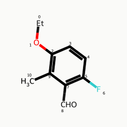 [CH2]COc1ccc(F)c(C=O)c1C